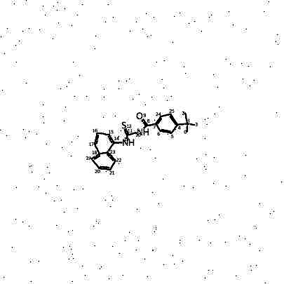 CC(C)(C)c1ccc(C(=O)NC(=S)Nc2cccc3ccccc23)cc1